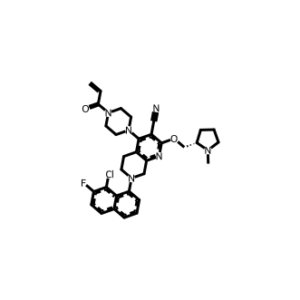 C=CC(=O)N1CCN(c2c(C#N)c(OC[C@@H]3CCCN3C)nc3c2CCN(c2cccc4ccc(F)c(Cl)c24)C3)CC1